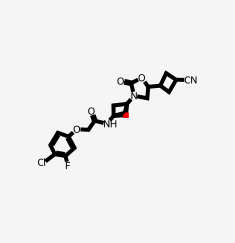 N#CC1CC(C2CN(C34CC(NC(=O)COc5ccc(Cl)c(F)c5)(C3)C4)C(=O)O2)C1